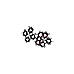 c1ccc([Si](c2ccccc2)(c2ccccc2)c2ccc(-c3c4ccccc4c([Si](c4ccccc4)(c4ccccc4)c4ccccc4)c4ccccc34)cc2)cc1